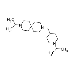 CC(C)N1CCC(CN2CCC3(CC2)CCN(C(C)C)CC3)CC1